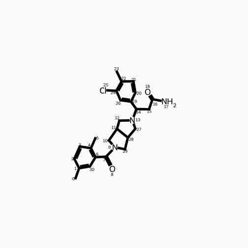 Cc1ccc(C)c(C(=O)N2CC3CN(C(CC(N)=O)c4ccc(C)c(Cl)c4)CC3C2)c1